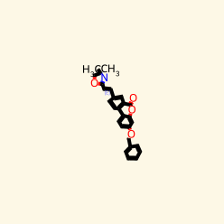 CC1(C)COC(/C=C/c2ccc3c(c2)c(=O)oc2cc(OCc4ccccc4)ccc23)=N1